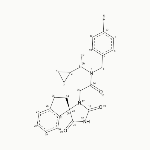 C[C@@H](C1CC1)N(Cc1ccc(F)cc1)C(=O)CN1C(=O)NC(=O)[C@@]12CCc1ccccc12